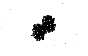 [2H]c1c([2H])c([2H])c(N(c2c(F)c(F)c(F)c(F)c2F)c2ccc3ccc4c(N(c5c([2H])c([2H])c([2H])c([2H])c5[2H])c5c(F)c(F)c(F)c(F)c5F)ccc5ccc2c3c54)c([2H])c1[2H]